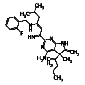 C=C(CCC)C1(C)C(=C)Nc2nc(C(=N)/C=C(/CC(C)C)NCc3ccccc3F)nc(N)c21